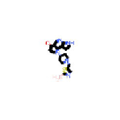 Bc1ncc(CN2CCC(n3ccc(=O)c4cnc5[nH]ccc5c43)CC2)s1